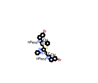 CCCCCN1/C(=C/C=C2C(Sc3ccccc3)=C(/C=C/C3=[N+](CCCCC)c4ccc5cc(Br)ccc5c4C3(C)C)c3nc4ccccc4nc3/2)C(C)(C)c2c1ccc1cc(Br)ccc21